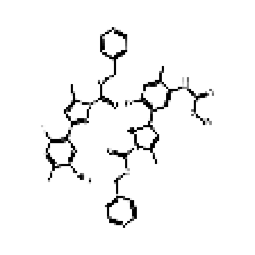 CC1=CC(c2cc(NC(=O)OC(C)(C)C)c(C)cc2F)NN1C(=O)OCc1ccccc1.Cc1cc(F)c(-c2cc(C)n(C(=O)OCc3ccccc3)n2)cc1N